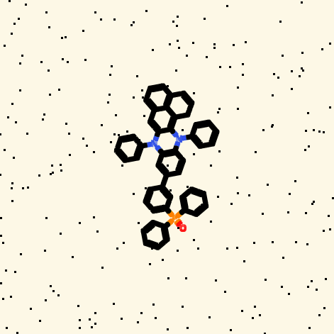 O=P(c1ccccc1)(c1ccccc1)c1cccc(-c2ccc3c(c2)N(c2ccccc2)c2cc4cccc5c4c(c2N3c2ccccc2)CC=C5)c1